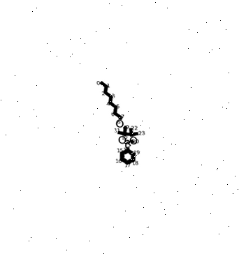 CCCCCCCCOCC1(C)OB(c2ccccc2)OC1(C)C